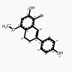 COc1cc(O)c(Br)c2c1CCC(c1ccc(O)cc1)=C2